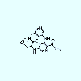 Cc1cncc(Nc2nc(NC(CC3CC3)C(N)=O)cnc2C(N)=O)c1